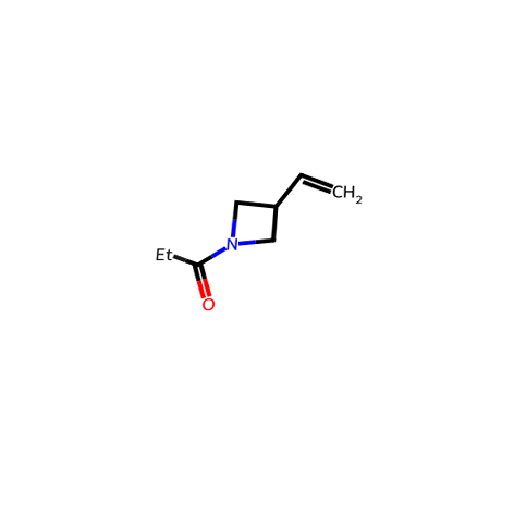 C=CC1CN(C(=O)CC)C1